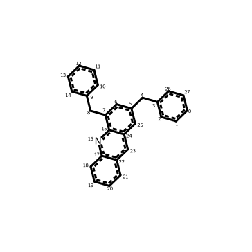 c1ccc(Cc2cc(Cc3ccccc3)c3nc4ccccc4cc3c2)cc1